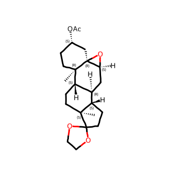 CC(=O)O[C@H]1CC[C@]2(C)[C@H]3CC[C@@]4(C)[C@@H](CCC45OCCO5)[C@@H]3C[C@@H]3O[C@@]32C1